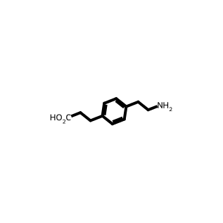 NCCc1ccc(CCC(=O)O)cc1